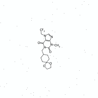 Cn1c(=O)n(CC2CCC3(CC2)OCCO3)c(=O)c2c1ncn2CC(F)(F)F